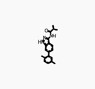 Cc1ccc(C)c(-c2ccc3c(NC(=O)C(C)C)n[nH]c3c2)c1